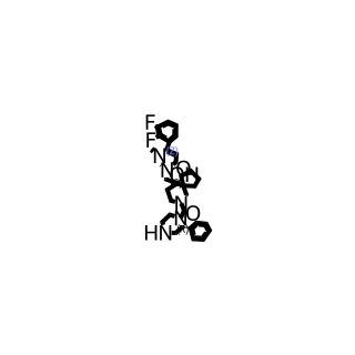 C=N/C(=C\C(=O)N(C)C[C@]1(O)CCN(C(=O)N2CCNC[C@H]2c2ccccc2)CC12CCCC2)c1cccc(F)c1F